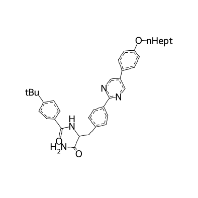 CCCCCCCOc1ccc(-c2cnc(-c3ccc(CC(NC(=O)c4ccc(C(C)(C)C)cc4)C(N)=O)cc3)nc2)cc1